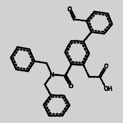 O=Cc1ccccc1-c1ccc(C(=O)N(Cc2ccccc2)Cc2ccccc2)c(CC(=O)O)c1